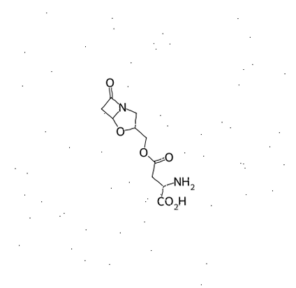 NC(CC(=O)OCC1CN2C(=O)CC2O1)C(=O)O